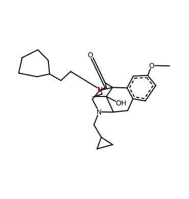 COc1ccc2c(c1)C13CCN(CC4CC4)C(C2)C1(O)CCN(CCC1CCCCC1)C(=O)C3